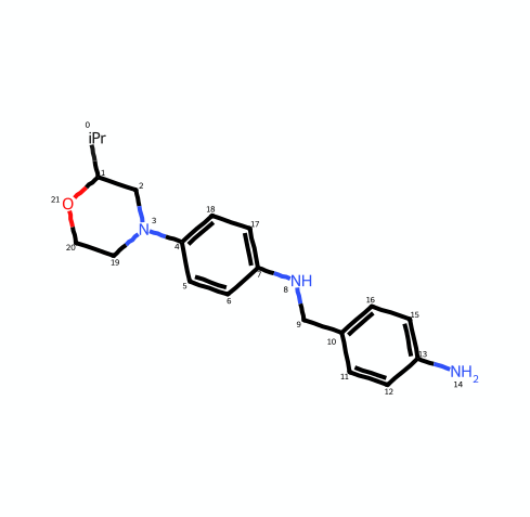 CC(C)C1CN(c2ccc(NCc3ccc(N)cc3)cc2)CCO1